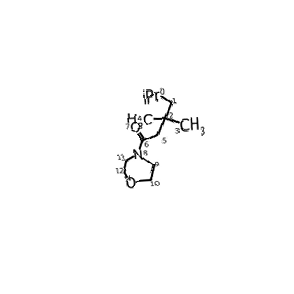 CC(C)CC(C)(C)CC(=O)N1CCOCC1